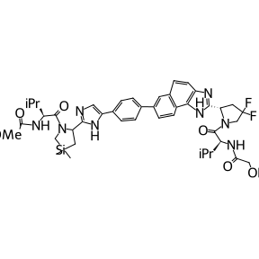 COC(=O)N[C@H](C(=O)N1C[Si](C)(C)CC1c1ncc(-c2ccc(-c3ccc4c(ccc5nc([C@@H]6CC(F)(F)CN6C(=O)[C@@H](NC(=O)CO)C(C)C)[nH]c54)c3)cc2)[nH]1)C(C)C